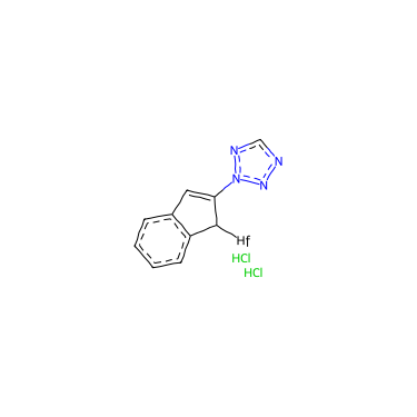 Cl.Cl.[Hf][CH]1C(n2ncnn2)=Cc2ccccc21